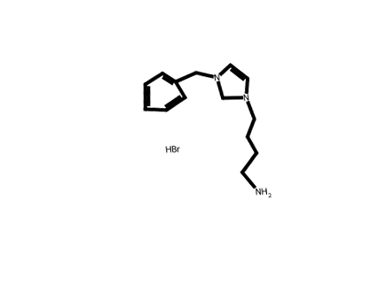 Br.NCCCCN1C=CN(Cc2ccccc2)C1